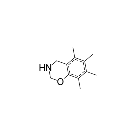 Cc1c(C)c(C)c2c(c1C)CNCO2